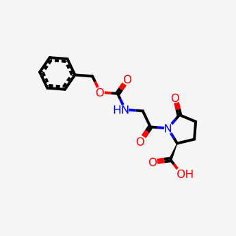 O=C(NCC(=O)N1C(=O)CC[C@H]1C(=O)O)OCc1ccccc1